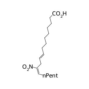 CCCCCC=C(CC=CCCCCCCCC(=O)O)[N+](=O)[O-]